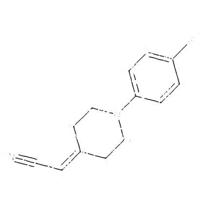 N#CC=C1CCN(c2ccc(F)cc2)CC1